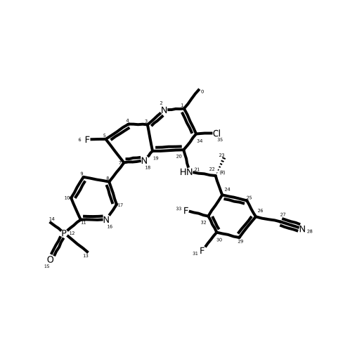 Cc1nc2cc(F)c(-c3ccc(P(C)(C)=O)nc3)nc2c(N[C@H](C)c2cc(C#N)cc(F)c2F)c1Cl